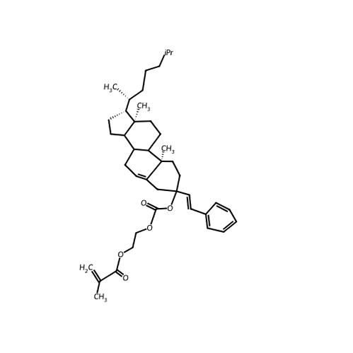 C=C(C)C(=O)OCCOC(=O)OC1(C=Cc2ccccc2)CC[C@@]2(C)C(=CCC3C2CC[C@@]2(C)C3CC[C@@H]2[C@H](C)CCCC(C)C)C1